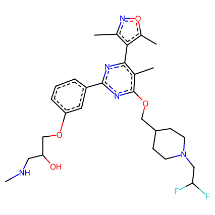 CNCC(O)COc1cccc(-c2nc(OCC3CCN(CC(F)F)CC3)c(C)c(-c3c(C)noc3C)n2)c1